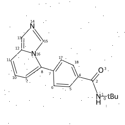 CC(C)(C)NC(=O)c1ccc(-c2cccc3cncn23)cc1